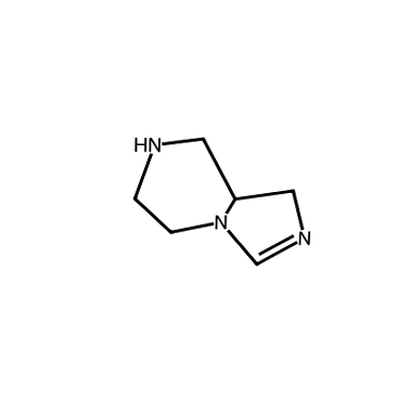 C1=NCC2CNCCN12